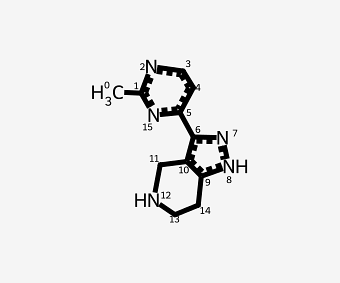 Cc1nccc(-c2n[nH]c3c2CNCC3)n1